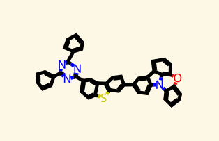 c1ccc(-c2nc(-c3ccccc3)nc(-c3ccc4sc5cc(-c6ccc7c(c6)c6cccc8c6n7-c6ccccc6O8)ccc5c4c3)n2)cc1